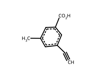 C#Cc1cc(C)cc(C(=O)O)c1